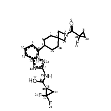 O=C(N1CC2(CCC(c3cccc4nc(NC(O)[C@H]5CC5(F)F)nn34)CC2)C1)C1(F)CC1